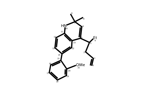 C=CCC(CC)C1=CC(C)(C)Nc2ccc(-c3ccccc3OC)cc21